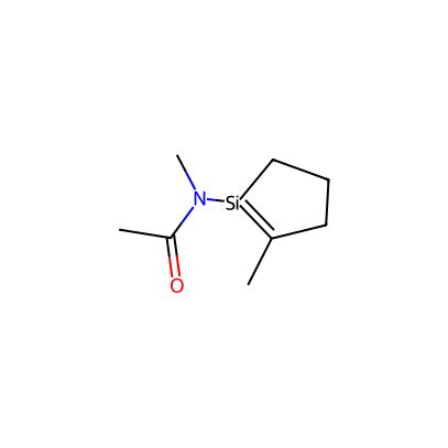 CC(=O)N(C)[Si]1=C(C)CCC1